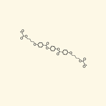 O=C(Oc1ccc(OC(=O)c2ccc(OCCCCOC(=O)C3CO3)cc2)cc1)c1ccc(OCCCCOC(=O)C2CO2)cc1